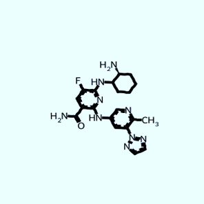 Cc1ncc(Nc2nc(NC3CCCC[C@@H]3N)c(F)cc2C(N)=O)cc1-n1nccn1